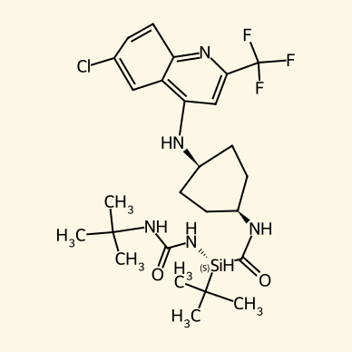 CC(C)(C)NC(=O)N[Si@H](C(=O)N[C@H]1CC[C@@H](Nc2cc(C(F)(F)F)nc3ccc(Cl)cc23)CC1)C(C)(C)C